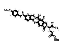 COc1ccc(CN(C)c2ccc3c(n2)CN(C(=O)c2c(F)cc4c(c2F)CN([C@@H](CCC(=O)OC(C)(C)C)C(N)=O)C4=O)C3)cc1